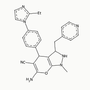 CCc1nccn1-c1ccc(C2C(C#N)=C(N)OC3=C2C(Cc2ccncc2)NN3C)cc1